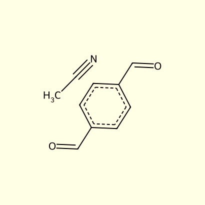 CC#N.O=Cc1ccc(C=O)cc1